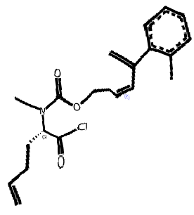 C=CCC[C@@H](C(=O)Cl)N(C)C(=O)OC/C=C\C(=C)c1ccccc1C